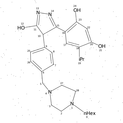 CCCCCCN1CCN(Cc2ccc(C3C(O)=NN=C3c3cc(C(C)C)c(O)cc3O)cc2)CC1